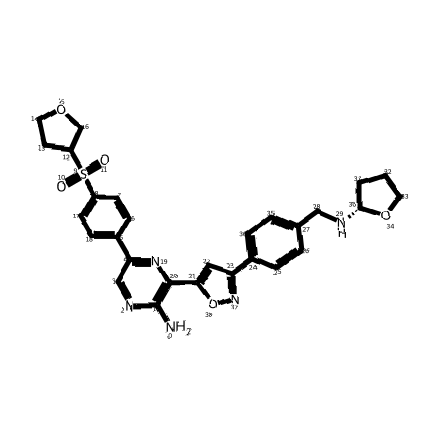 Nc1ncc(-c2ccc(S(=O)(=O)C3CCOC3)cc2)nc1-c1cc(-c2ccc(CN[C@@H]3CCCO3)cc2)no1